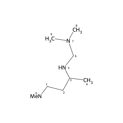 CNCCC(C)NCN(C)C